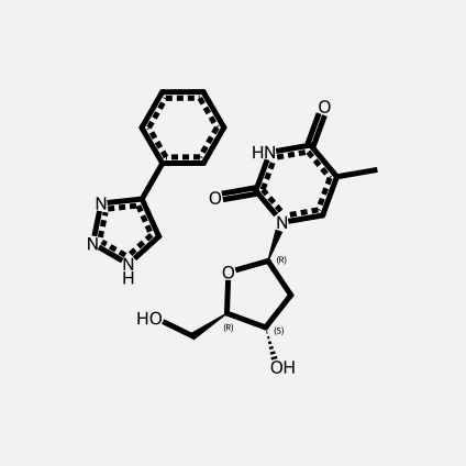 Cc1cn([C@H]2C[C@H](O)[C@@H](CO)O2)c(=O)[nH]c1=O.c1ccc(-c2c[nH]nn2)cc1